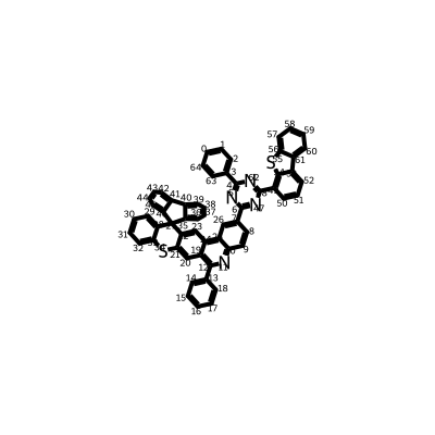 c1ccc(-c2nc(-c3ccc4nc(-c5ccccc5)c5cc6c(cc5c4c3)C3(c4ccccc4S6)c4ccccc4-c4ccccc43)nc(-c3cccc4c3sc3ccccc34)n2)cc1